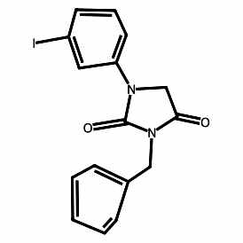 O=C1CN(c2cccc(I)c2)C(=O)N1Cc1ccccc1